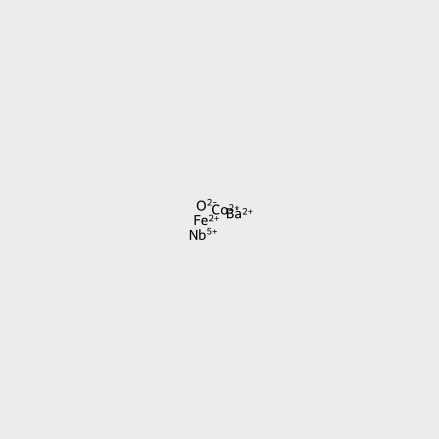 [Ba+2].[Co+2].[Fe+2].[Nb+5].[O-2]